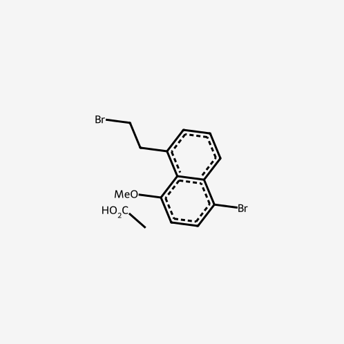 CC(=O)O.COc1ccc(Br)c2cccc(CCBr)c12